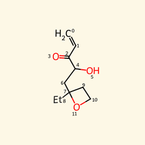 C=CC(=O)C(O)CC1(CC)CCO1